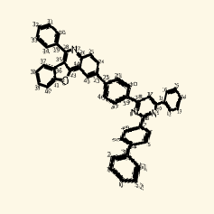 c1ccc(-c2ccc(-c3nc(-c4ccccc4)cc(-c4ccc(-c5ccc6nc(-c7ccccc7)c7c8ccccc8oc7c6c5)cc4)n3)cc2)cc1